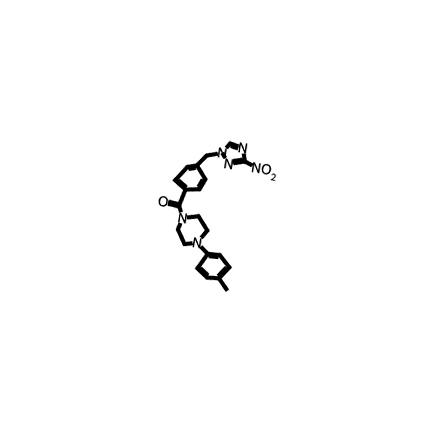 Cc1ccc(N2CCN(C(=O)c3ccc(Cn4cnc([N+](=O)[O-])n4)cc3)CC2)cc1